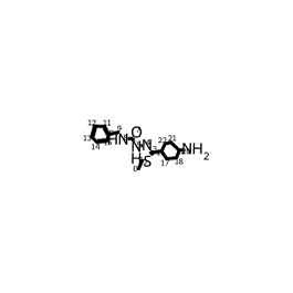 CCS/C(=N\NC(=O)NCc1ccccc1)C1CCC(N)CC1